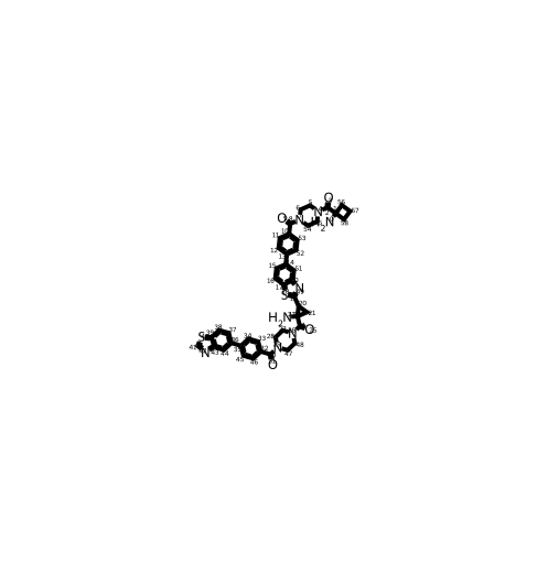 NC1(C(=O)N2CCN(C(=O)c3ccc(-c4ccc5sc(C6CC6(N)C(=O)N6CCN(C(=O)c7ccc(-c8ccc9scnc9c8)cc7)CC6)nc5c4)cc3)CC2)CCC1